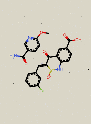 COc1ccc(C(N)=O)cn1.O=C(O)c1ccc2c(c1)C(=O)/C(=C/c1cccc(F)c1)[S+]([O-])N2